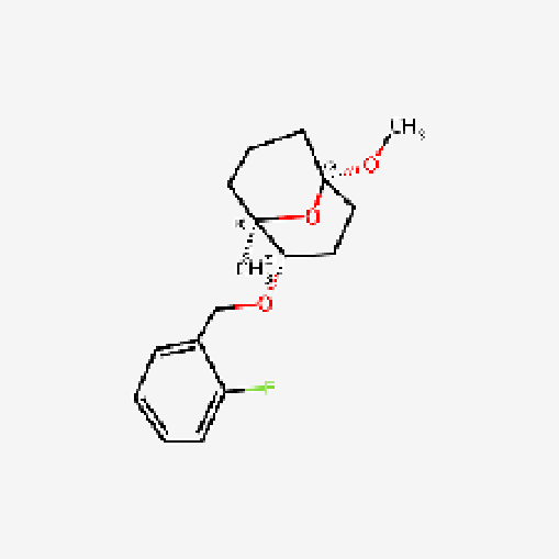 CO[C@@]12CCC[C@@](C)(O1)[C@@H](OCc1ccccc1F)CC2